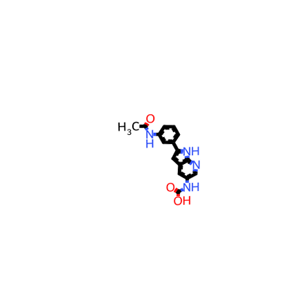 CC(=O)Nc1cccc(-c2cc3cc(NC(=O)O)cnc3[nH]2)c1